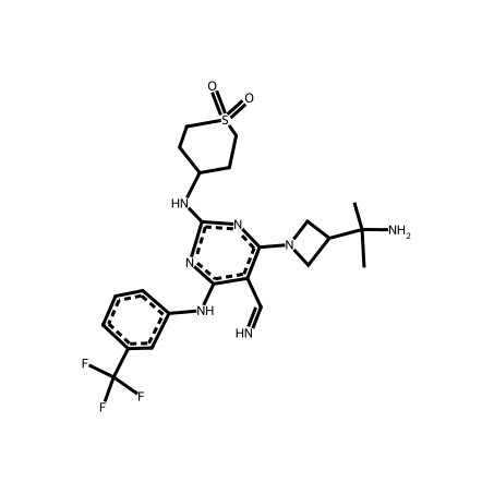 CC(C)(N)C1CN(c2nc(NC3CCS(=O)(=O)CC3)nc(Nc3cccc(C(F)(F)F)c3)c2C=N)C1